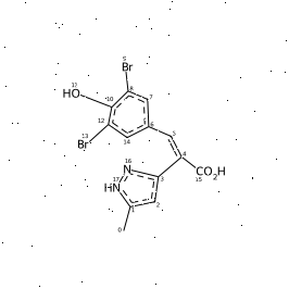 Cc1cc(C(=Cc2cc(Br)c(O)c(Br)c2)C(=O)O)n[nH]1